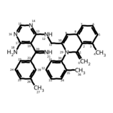 C=C1c2c(C)cccc2C=C(CNc2ncnc(N)c2C(=N)c2cccc(C)c2)N1c1ccccc1C